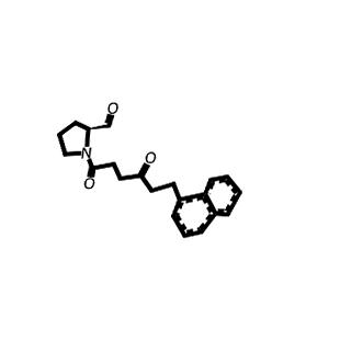 O=C[C@@H]1CCCN1C(=O)CCC(=O)CCc1cccc2ccccc12